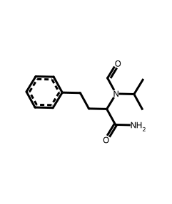 CC(C)N(C=O)C(CCc1ccccc1)C(N)=O